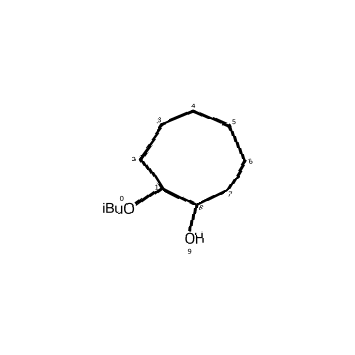 CC(C)COC1CCCCCCC1O